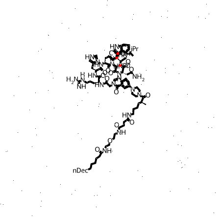 CCCCCCCCCCCCCCCC(=O)NCCOCCNC(=O)CCC(=O)NCCCC[C@H](C)C(=O)N1CCN(c2ccc3ncn(CC(=O)N[C@@H](CCCNC(=N)N)C(=O)N[C@@H](Cc4c[nH]cn4)C(=O)N[C@@H](Cc4ccc(O)cc4)C(=O)N[C@@H](CC(C)C)C(=O)N[C@@H](CC(N)=O)C(=O)N[C@@H](Cc4c[nH]c5ccccc45)C(=O)N[C@H](C)C(C)C)c(=O)c3c2)CC1